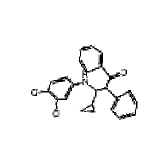 O=C(c1ccccc1)C(c1ccccc1)C(Nc1ccc(Cl)c(Cl)c1)C1CC1